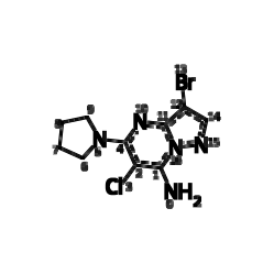 Nc1c(Cl)c(N2CCCC2)nc2c(Br)cnn12